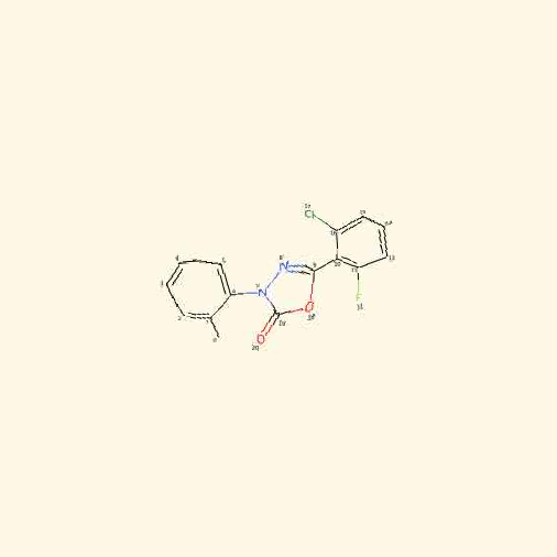 Cc1ccccc1-n1nc(-c2c(F)cccc2Cl)oc1=O